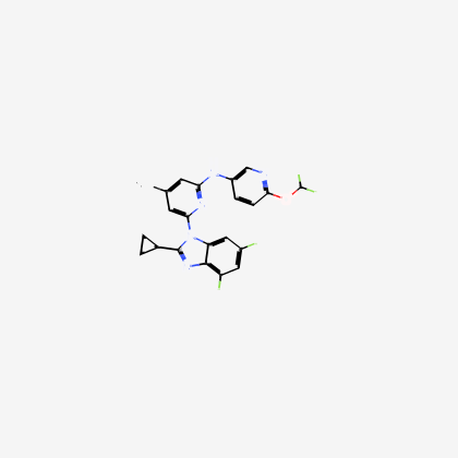 N#Cc1cc(Nc2ccc(OC(F)F)nc2)nc(-n2c(C3CC3)nc3c(F)cc(F)cc32)c1